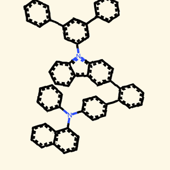 c1ccc(-c2cc(-c3ccccc3)cc(-n3c4ccccc4c4cc(-c5ccccc5-c5ccc(N(c6ccccc6)c6cccc7ccccc67)cc5)ccc43)c2)cc1